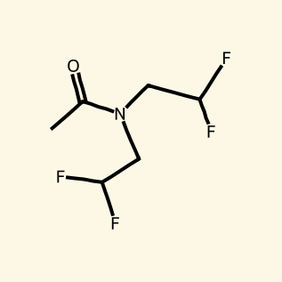 CC(=O)N(CC(F)F)CC(F)F